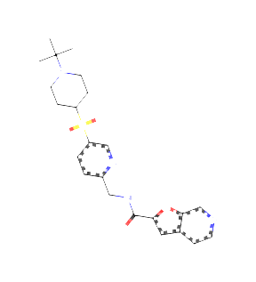 CC(C)(C)N1CCC(S(=O)(=O)c2ccc(CNC(=O)c3cc4ccncc4o3)nc2)CC1